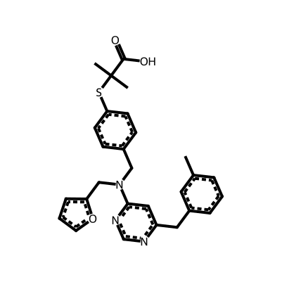 Cc1cccc(Cc2cc(N(Cc3ccc(SC(C)(C)C(=O)O)cc3)Cc3ccco3)ncn2)c1